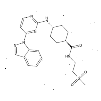 CS(=O)(=O)CCNC(=O)[C@H]1CC[C@H](Nc2nccc(-n3ncc4ccccc43)n2)CC1